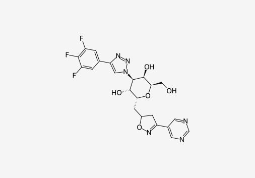 OC[C@H]1O[C@H](CC2CC(c3cncnc3)=NO2)[C@H](O)[C@@H](n2cc(-c3cc(F)c(F)c(F)c3)nn2)[C@H]1O